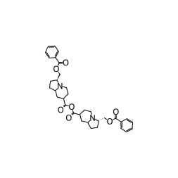 O=C(OC[C@@H]1CCC2CC(C(=O)OC(=O)C3CCN4C(CC[C@H]4COC(=O)c4ccccc4)C3)CCN21)c1ccccc1